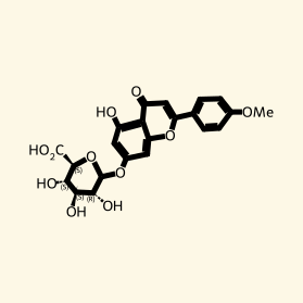 COc1ccc(-c2cc(=O)c3c(O)cc(OC4O[C@H](C(=O)O)[C@@H](O)[C@H](O)[C@H]4O)cc3o2)cc1